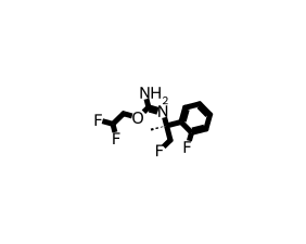 C[C@](CF)(/N=C(/N)OCC(F)F)c1ccccc1F